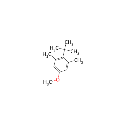 COc1cc(C)c(C(C)(C)C)c(C)c1